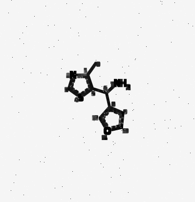 Cc1ncsc1C(N)c1ccoc1